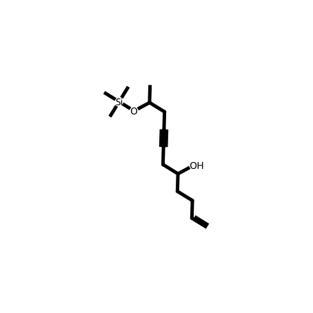 C=CCCC(O)CC#CCC(C)O[Si](C)(C)C